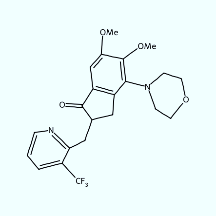 COc1cc2c(c(N3CCOCC3)c1OC)CC(Cc1ncccc1C(F)(F)F)C2=O